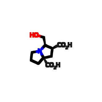 O=C(O)[C@H]1C[C@@]2(C(=O)O)CCCN2[C@H]1CO